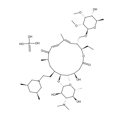 CC[C@H]1OC(=O)C[C@@H](O)[C@H](C)[C@@H](O[C@@H]2O[C@H](C)[C@@H](O)[C@H](N(C)C)[C@H]2O)[C@@H](CCN2C[C@H](C)C[C@H](C)C2)C[C@@H](C)C(=O)/C=C/C(C)=C/[C@@H]1CO[C@@H]1O[C@H](C)[C@@H](O)[C@@H](OC)[C@H]1OC.O=P(O)(O)O